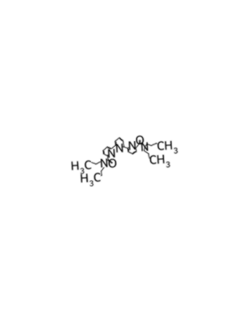 CCCCN(CCCC)C(=O)c1cccc(-c2cccc(-c3cccc(C(=O)N(CCCC)CCCC)n3)n2)n1